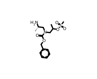 CC(CN(C[C@H](C)N)C(=O)OCc1ccccc1)OS(C)(=O)=O